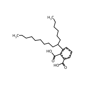 CCCCCCCCCC(CCCCCC)c1cccc(C(=O)O)c1C(=O)O